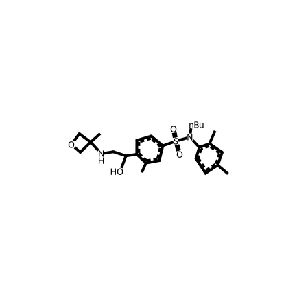 CCCCN(c1ccc(C)cc1C)S(=O)(=O)c1ccc(C(O)CNC2(C)COC2)c(C)c1